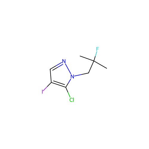 CC(C)(F)Cn1ncc(I)c1Cl